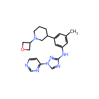 Cc1cc(Nc2ncn(-c3ccncn3)n2)cc(C2CCCN(C3COC3)C2)c1